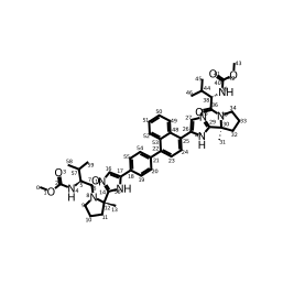 COC(=O)N[C@H](C(=O)N1CCC[C@@]1(C)c1ncc(-c2ccc(-c3ccc(-c4cnc([C@]5(C)CCCN5C(=O)[C@@H](NC(=O)OC)C(C)C)[nH]4)c4ccccc34)cc2)[nH]1)C(C)C